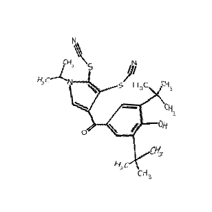 CC(C)n1cc(C(=O)c2cc(C(C)(C)C)c(O)c(C(C)(C)C)c2)c(SC#N)c1SC#N